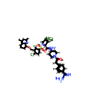 Cc1cc(C)c2cccc(OCc3c(Cl)ccc(S(=O)(=O)N4CCC[C@H]4C(=O)NC4CCN(C(=O)Cc5ccc(C(=N)N)cc5)CC4)c3Cl)c2n1.Cl.Cl